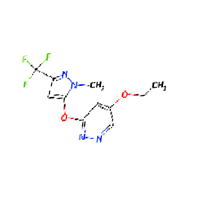 CCOc1cnnc(Oc2cc(C(F)(F)F)nn2C)c1